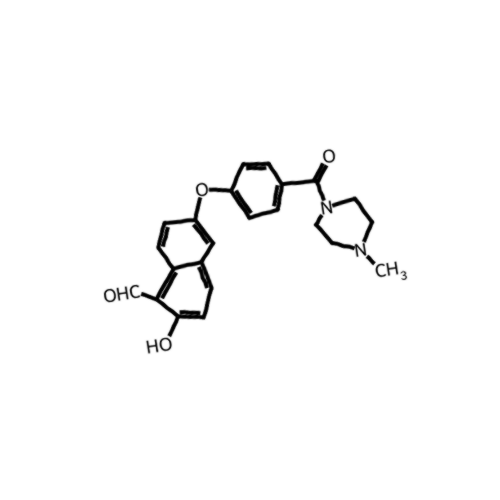 CN1CCN(C(=O)c2ccc(Oc3ccc4c(C=O)c(O)ccc4c3)cc2)CC1